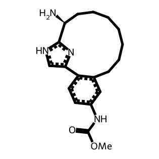 COC(=O)Nc1ccc2c(c1)CCCCCCC[C@H](N)c1nc-2c[nH]1